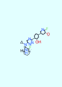 COc1cc(-c2ccc(-c3ncc(N(C4CC4)[C@H]4C[C@@H]5CCC[C@@](C)(N5)[C@H]4F)nn3)c(O)c2)cnc1F